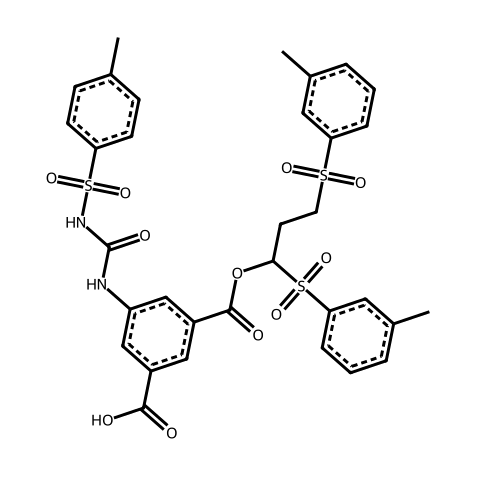 Cc1ccc(S(=O)(=O)NC(=O)Nc2cc(C(=O)O)cc(C(=O)OC(CCS(=O)(=O)c3cccc(C)c3)S(=O)(=O)c3cccc(C)c3)c2)cc1